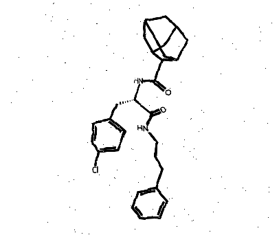 O=C(N[C@@H](Cc1ccc(Cl)cc1)C(=O)NCCCc1ccccc1)C1C2CC3CC(C2)CC1C3